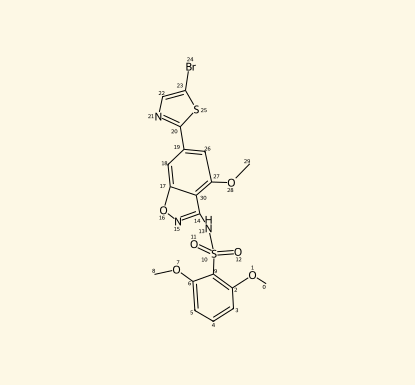 COc1cccc(OC)c1S(=O)(=O)Nc1noc2cc(-c3ncc(Br)s3)cc(OC)c12